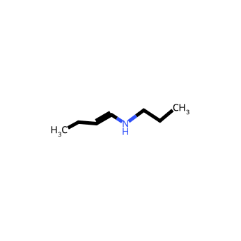 CCC=CNCCC